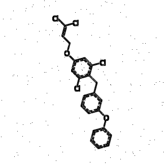 ClC(Cl)=CCOc1cc(Cl)c(Cc2cccc(Oc3ccccc3)c2)c(Cl)c1